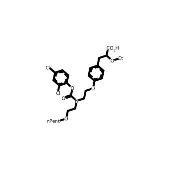 CCCCCOCCN(CCOc1ccc(CC(OCC)C(=O)O)cc1)C(=O)Oc1ccc(Cl)cc1Cl